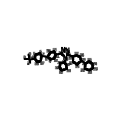 CC(C)(C)c1ccc(-c2ccc(-c3nnc(-c4ccc(-c5ccccc5)cc4)n3-c3ccccc3)cc2)cc1